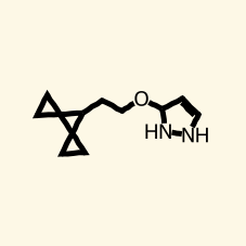 C1=CC(OCCC2C3(CC3)C23CC3)NN1